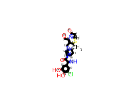 C[C@@H]1S[C@@H]2CC(=O)N2C(C=O)=C1C[N+]12CCC(CC1)N(C(=O)C(=N)c1cc(O)c(O)c(Cl)c1)CC2